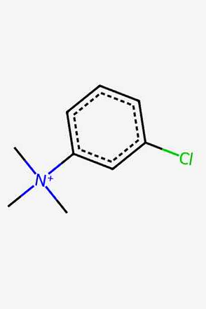 C[N+](C)(C)c1cccc(Cl)c1